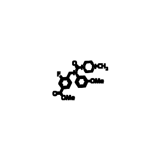 COC(=O)c1ccc(CN(C(=O)N2CCN(C)CC2)c2cccc(OC)c2)c(F)c1